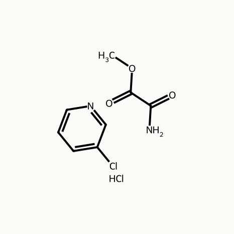 COC(=O)C(N)=O.Cl.Clc1cccnc1